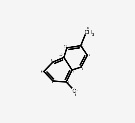 Cc1ccc2c([O])cccc2c1